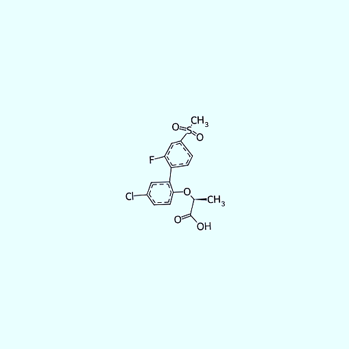 C[C@H](Oc1ccc(Cl)cc1-c1ccc(S(C)(=O)=O)cc1F)C(=O)O